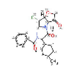 CC1CCC([C@H](NC(=O)c2ccccc2)C(=O)N2C[C@H](Cl)[C@H]3OCC(=O)[C@H]32)CC1